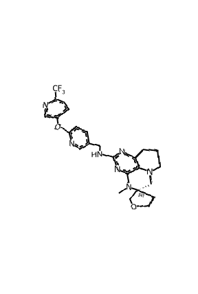 CN1c2nc(NCc3ccc(Oc4ccc(C(F)(F)F)nc4)nc3)nc3c2N(CCC3)C[C@@]12CCOC2